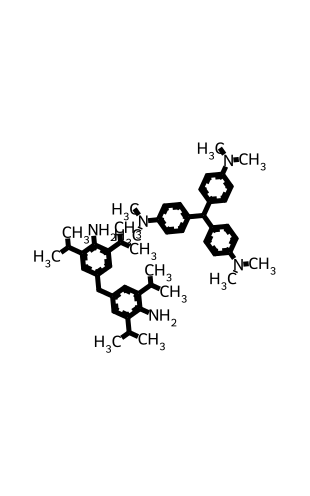 CC(C)c1cc(Cc2cc(C(C)C)c(N)c(C(C)C)c2)cc(C(C)C)c1N.CN(C)c1ccc(C(c2ccc(N(C)C)cc2)c2ccc(N(C)C)cc2)cc1